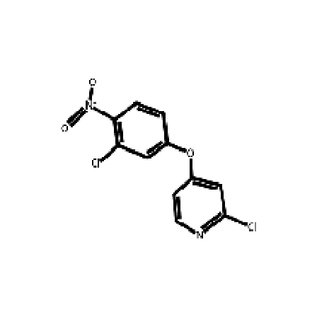 O=[N+]([O-])c1ccc(Oc2ccnc(Cl)c2)cc1Cl